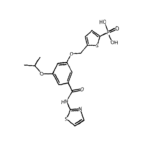 CC(C)Oc1cc(OCc2ccc(P(=O)(O)O)s2)cc(C(=O)Nc2nccs2)c1